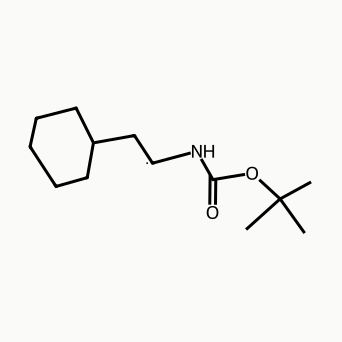 CC(C)(C)OC(=O)N[CH]CC1CCCCC1